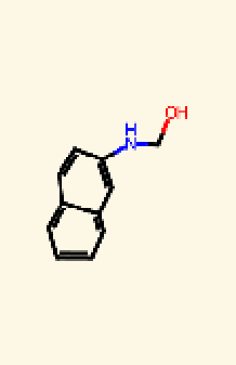 OCNc1ccc2ccccc2c1